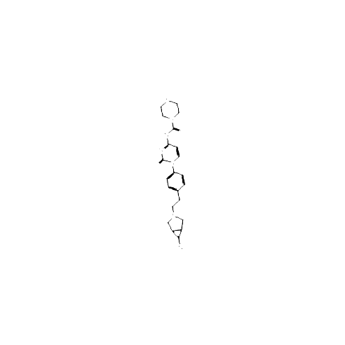 NC1C2CN(CCc3ccc(-n4ccc(NC(=O)N5CCNCC5)nc4=O)cc3)CC12